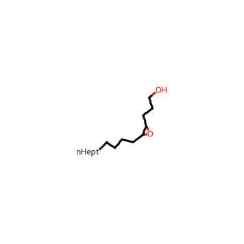 CCCCCCCCCCCC1OC1CCCO